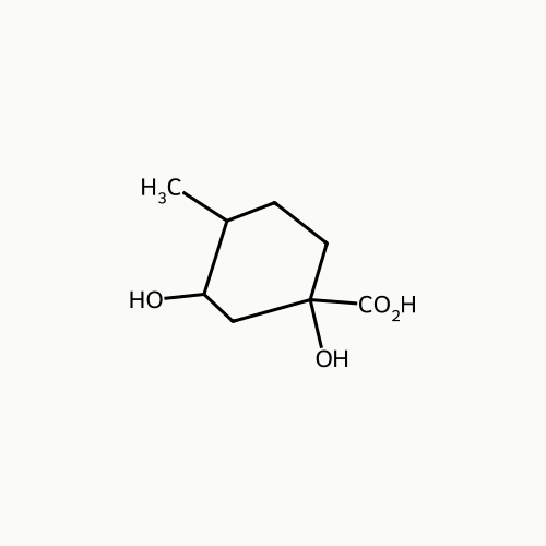 CC1CCC(O)(C(=O)O)CC1O